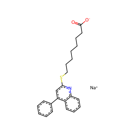 O=C([O-])CCCCCCCSc1cc(-c2ccccc2)c2ccccc2n1.[Na+]